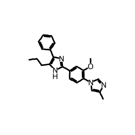 CCCc1[nH]c(-c2ccc(-n3cnc(C)c3)c(OC)c2)nc1-c1ccccc1